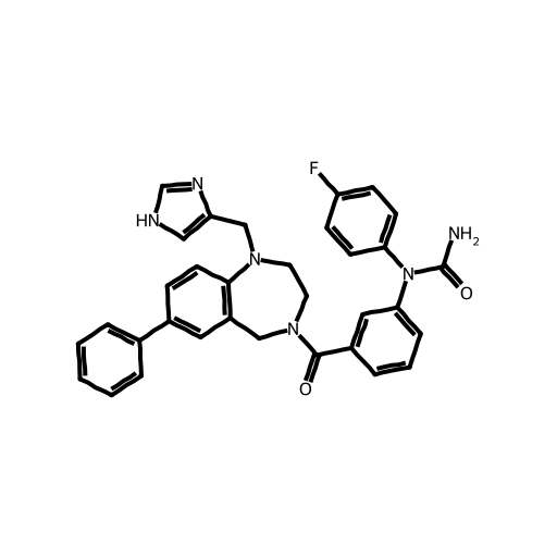 NC(=O)N(c1ccc(F)cc1)c1cccc(C(=O)N2CCN(Cc3c[nH]cn3)c3ccc(-c4ccccc4)cc3C2)c1